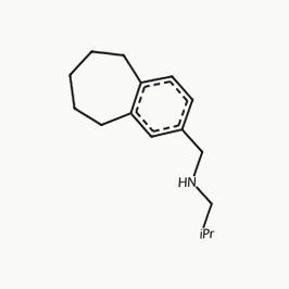 CC(C)CNCc1ccc2c(c1)CCCCC2